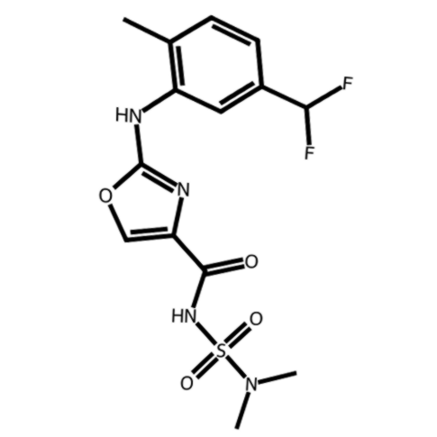 Cc1ccc(C(F)F)cc1Nc1nc(C(=O)NS(=O)(=O)N(C)C)co1